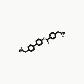 O=C(Oc1ccc(-c2ccc(CC3CO3)cc2)cc1)c1ccc(CC2CO2)cc1